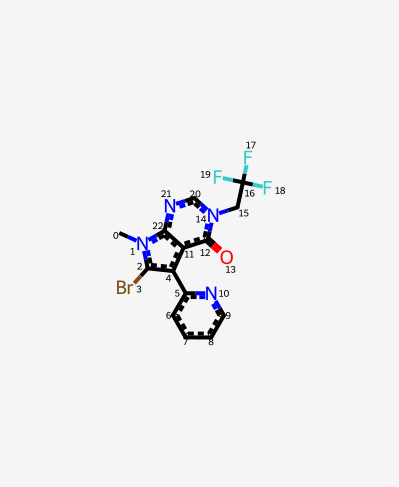 Cn1c(Br)c(-c2ccccn2)c2c(=O)n(CC(F)(F)F)cnc21